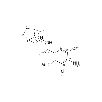 COc1c(C(=O)NC2CC3CCC(C2)N3C)cc(Cl)c(N)c1Cl